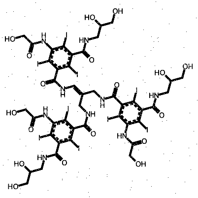 O=C(CO)Nc1c(I)c(C(=O)NC=C(CNC(=O)c2c(I)c(NC(=O)CO)c(I)c(C(=O)NCC(O)CO)c2I)CNC(=O)c2c(I)c(NC(=O)CO)c(I)c(C(=O)NCC(O)CO)c2I)c(I)c(C(=O)NCC(O)CO)c1I